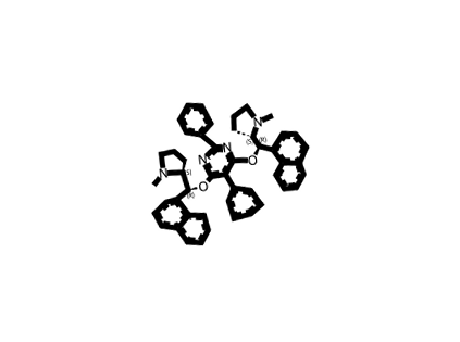 CN1CCC[C@H]1[C@H](Oc1nc(-c2ccccc2)nc(O[C@H](c2cccc3ccccc23)[C@@H]2CCCN2C)c1-c1ccccc1)c1cccc2ccccc12